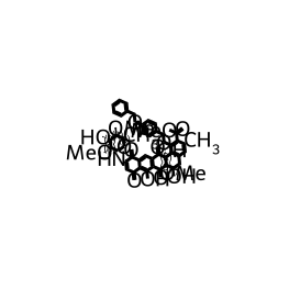 COC(=O)c1c(C)cc2c(c1OCc1ccc(OCc3ccccc3)cc1)[C@]1(O)C(=O)c3cc4c(c(O)c3C(=O)[C@]1(OC)[C@H](O)C2)C(=O)C=C(NC1O[C@@H](C)[C@H](OC)[C@@H](O)[C@H]1OC)C4=O